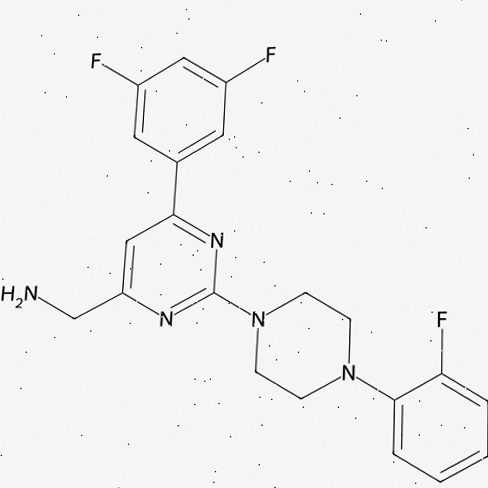 NCc1cc(-c2cc(F)cc(F)c2)nc(N2CCN(c3ccccc3F)CC2)n1